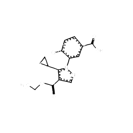 CCOC(=O)c1cnn(-c2cc(C(=O)O)ccc2Cl)c1C1CC1